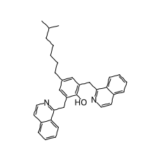 CC(C)CCCCCc1cc(Cc2nccc3ccccc23)c(O)c(Cc2nccc3ccccc23)c1